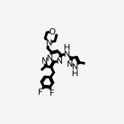 Cc1cc(Nc2cc(CN3CCOCC3)n3nc(C)c(Cc4ccc(F)c(F)c4)c3n2)n[nH]1